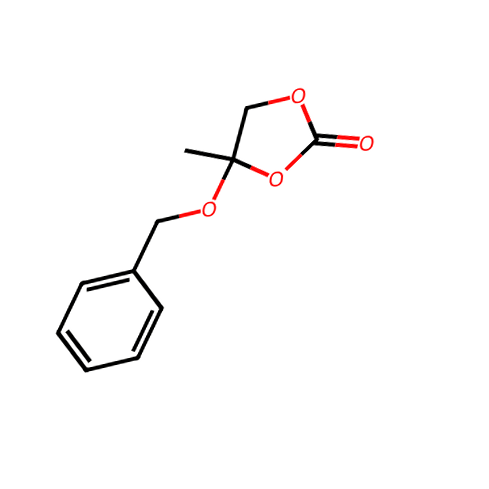 CC1(OCc2ccccc2)COC(=O)O1